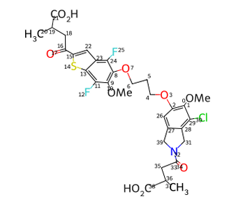 COc1c(OCCCOc2c(OC)c(F)c3sc(C(=O)CC(C)C(=O)O)cc3c2F)cc2c(c1Cl)CN(C(=O)CC(C)C(=O)O)C2